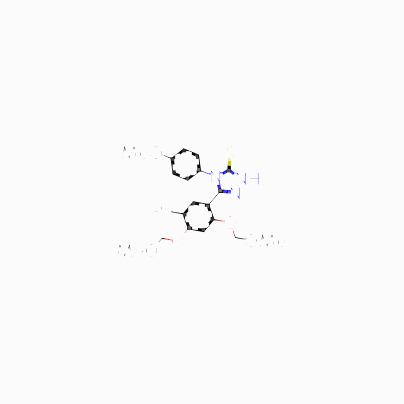 COCOc1cc(OCOC)c(C(C)C)cc1-c1n[nH]c(=S)n1-c1ccc(OC)cc1